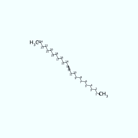 CCCCCCCCCCCCC#CCCCCCCCCCCCC